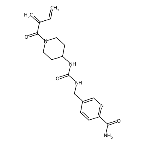 C=CC(=C)C(=O)N1CCC(NC(=O)NCc2ccc(C(N)=O)nc2)CC1